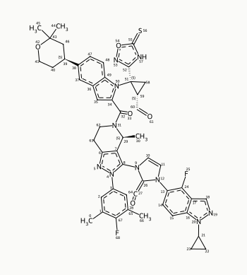 Cc1cc(-n2nc3c(c2N2C=CN(c4ccc5c(cnn5C5CC5)c4F)C2=C=O)[C@H](C)N(C(=O)c2cc4cc([C@H]5CCOC(C)(C)C5)ccc4n2[C@@]2(c4noc(=S)[nH]4)C[C@@H]2C=O)CC3)cc(C)c1F